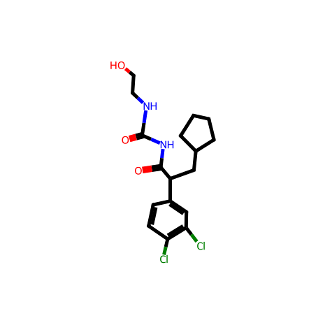 O=C(NCCO)NC(=O)C(CC1CCCC1)c1ccc(Cl)c(Cl)c1